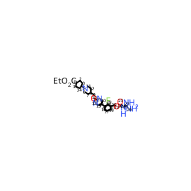 CCOC(=O)C1CCC(N2CCC(COc3ncc(-c4cccc(COC(=O)NC(=N)N)c4F)cn3)CC2)CC1